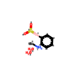 CC(C)(C)N.O.O.O=S(=O)=Bc1ccccc1